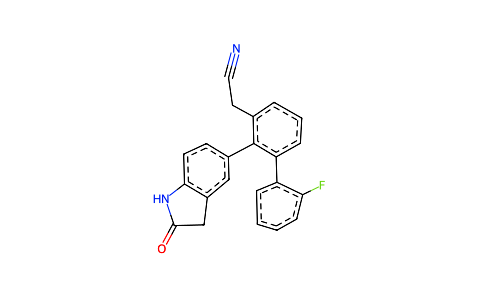 N#CCc1cccc(-c2ccccc2F)c1-c1ccc2c(c1)CC(=O)N2